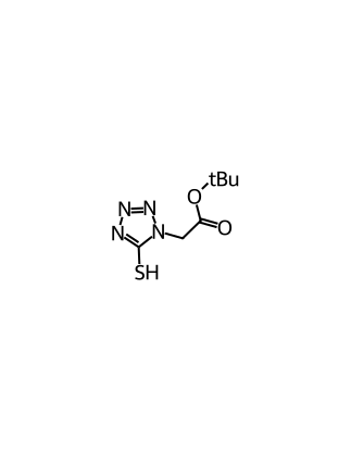 CC(C)(C)OC(=O)Cn1nnnc1S